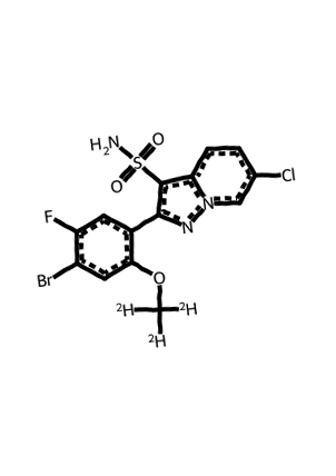 [2H]C([2H])([2H])Oc1cc(Br)c(F)cc1-c1nn2cc(Cl)ccc2c1S(N)(=O)=O